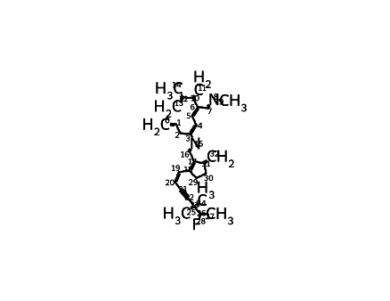 C=CCC(=C\C=C(/C=N/C)C(=C)C(=C)C)/N=C/C1=C(/C=C\C#CC(C)(C)C(C)F)CCC1=C